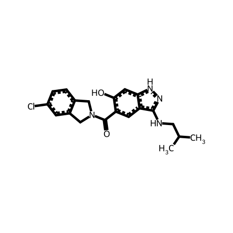 CC(C)CNc1n[nH]c2cc(O)c(C(=O)N3Cc4ccc(Cl)cc4C3)cc12